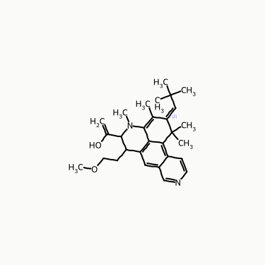 C=C(O)C1C(CCOC)c2cc3cnccc3c3c2C(=C(C)/C(=C\C(C)(C)C)C3(C)C)N1C